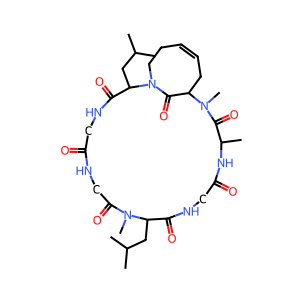 CC(C)CC1C(=O)NCC(=O)NC(C)C(=O)N(C)C2CC=CCCN(C2=O)C(CC(C)C)C(=O)NCC(=O)NCC(=O)N1C